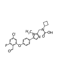 Cn1c(-c2ccc(Oc3cc(Cl)cc(F)c3C=O)cc2)cnc1CN(C(=O)O)C1CCC1